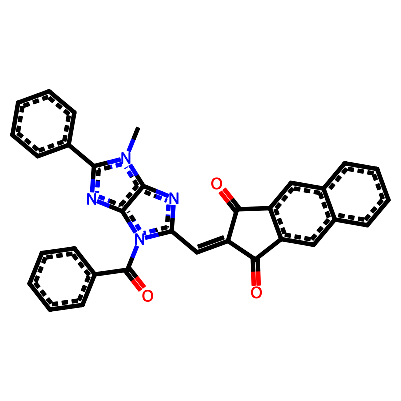 Cn1c(-c2ccccc2)nc2c1nc(C=C1C(=O)c3cc4ccccc4cc3C1=O)n2C(=O)c1ccccc1